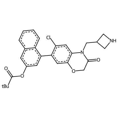 CC(C)(C)C(=O)Oc1cc(-c2cc3c(cc2Cl)N(CC2CNC2)C(=O)CO3)c2ccccc2c1